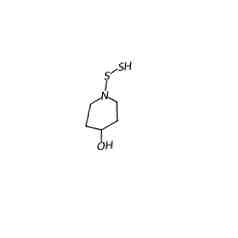 OC1CCN(SS)CC1